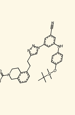 CC(C)(C)[Si](C)(C)Oc1ccc(Nc2cc(C#N)cc(-n3cc(CCc4cccc5c4CCN(C(=O)O)C5)nn3)c2)cc1